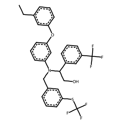 CCc1cccc(Oc2cccc(N(Cc3cccc(SC(F)(F)F)c3)C(CO)c3cccc(C(F)(F)F)c3)c2)c1